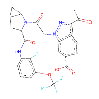 CC(=O)c1nn(CC(=O)N2C(C(=O)Nc3cccc(OC(F)(F)F)c3F)CC3CC32)c2cc(C(=O)O)ccc12